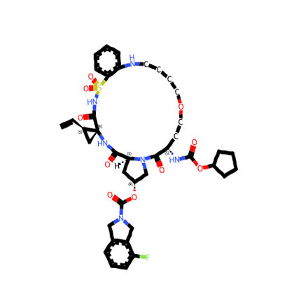 C=C[C@@H]1C[C@@]12NC(=O)[C@@H]1C[C@@H](OC(=O)N3Cc4cccc(F)c4C3)CN1C(=O)[C@@H](NC(=O)OC1CCCC1)CCOCCCCNc1ccccc1S(=O)(=O)NC2=O